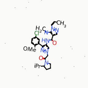 C=Nc1c(C(=O)Nc2cn(CC(=O)N3CCCC3C(C)C)nc2-c2cc(Cl)ccc2OC)cnn1/C=C\C